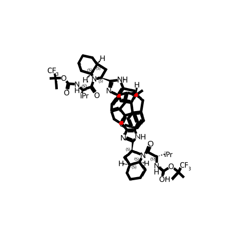 CC(C)[C@H](NC(=O)OC(C)(C)C(F)(F)F)C(=O)N1[C@H](c2nc3cc(-c4cc5ccc4C[C@@H](C)c4ccc(c(-c6ccc7[nH]c([C@@H]8C[C@@H]9CCCC[C@@H]9N8C(=O)[C@@H](NC(O)OC(C)(C)C(F)(F)F)C(C)C)nc7c6)c4)CC5)ccc3[nH]2)C[C@@H]2CCCC[C@@H]21